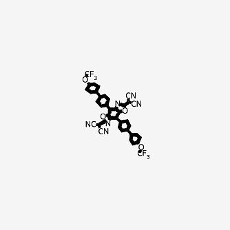 N#CC(C#N)=c1nc2c(-c3ccc(-c4ccc(OC(F)(F)F)cc4)cc3)c3oc(=C(C#N)C#N)nc3c(-c3ccc(-c4ccc(OC(F)(F)F)cc4)cc3)c2o1